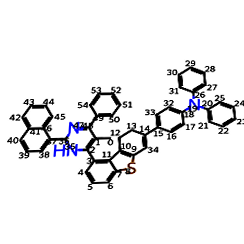 CC1=C(c2cccc3sc4c(c23)CCC(c2ccc(N(c3ccccc3)c3ccccc3)cc2)=C4)NC(c2cccc3ccccc23)N=C1c1ccccc1